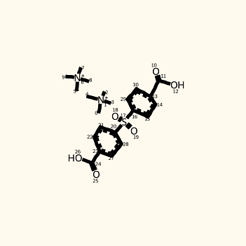 C[N+](C)(C)C.C[N+](C)(C)C.O=C(O)c1ccc(S(=O)(=O)c2ccc(C(=O)O)cc2)cc1